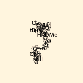 COc1cc(C(=O)N2CCC3(CC2)C[C@H]3C#Cc2cccc3c2CN([C@H]2CCC(=O)NC2=O)C3=O)ccc1NC(=O)[C@@H]1N[C@@H](CC(C)(C)C)[C@@]2(CNc3cc(Cl)ccc32)[C@H]1c1cccc(Cl)c1F